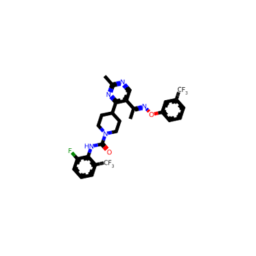 C/C(=N\Oc1cccc(C(F)(F)F)c1)c1cnc(C)nc1C1CCN(C(=O)Nc2c(F)cccc2C(F)(F)F)CC1